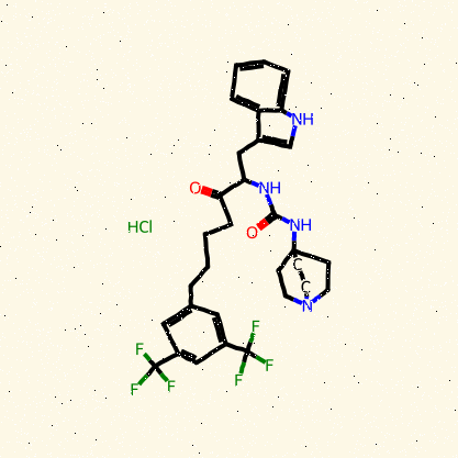 Cl.O=C(NC(Cc1c[nH]c2ccccc12)C(=O)CCCCc1cc(C(F)(F)F)cc(C(F)(F)F)c1)NC12CCN(CC1)CC2